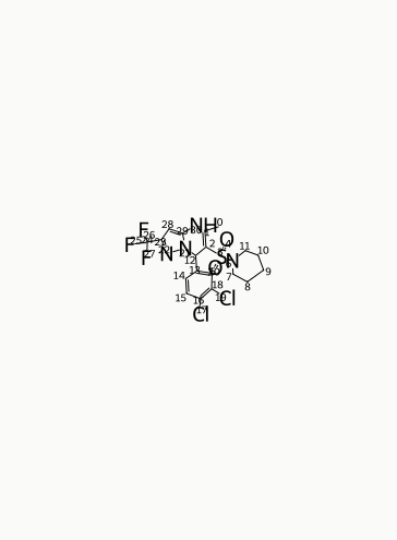 CC1=C(S(=O)(=O)N2CCCCC2)C(c2ccc(Cl)c(Cl)c2)n2nc(C(F)(F)F)cc2N1